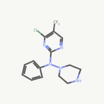 FC(F)(F)c1cnc(N(c2ccccc2)N2CCNCC2)nc1Cl